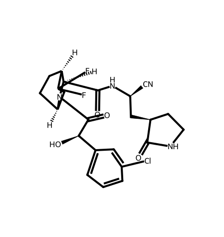 N#C[C@@H](C[C@H]1CCNC1=O)NC(=O)[C@@H]1[C@@H]2CC[C@@H](CC2(F)F)N1C(=O)[C@H](O)c1cccc(Cl)c1